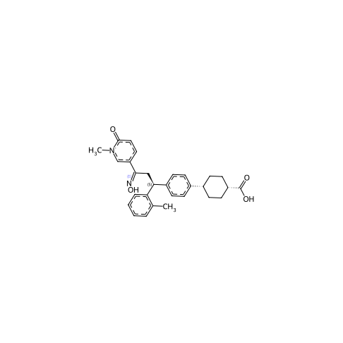 Cc1ccccc1[C@@H](C/C(=N\O)c1ccc(=O)n(C)c1)c1ccc([C@H]2CC[C@@H](C(=O)O)CC2)cc1